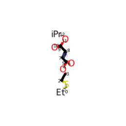 CCSCCOC(=O)/C=C/C(=O)OC(C)C